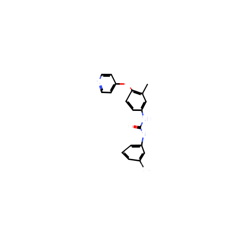 Cc1cc(NC(=O)Nc2cccc(C(F)(F)F)c2)ccc1Oc1ccncc1